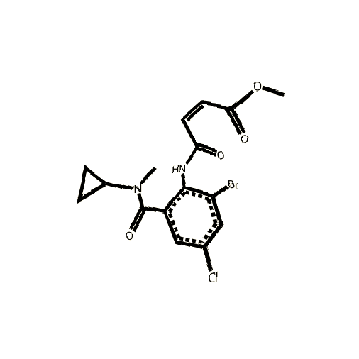 COC(=O)/C=C\C(=O)Nc1c(Br)cc(Cl)cc1C(=O)N(C)C1CC1